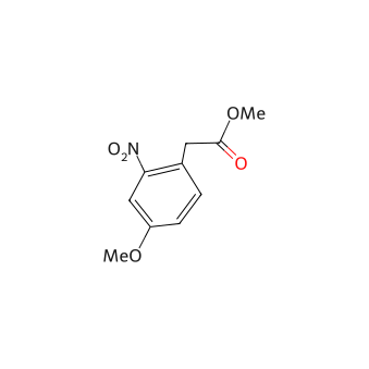 COC(=O)Cc1ccc(OC)cc1[N+](=O)[O-]